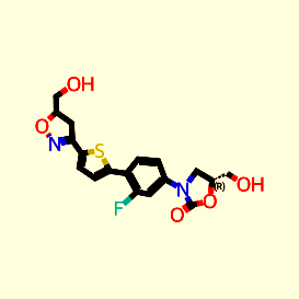 O=C1O[C@@H](CO)CN1c1ccc(-c2ccc(C3=NOC(CO)C3)s2)c(F)c1